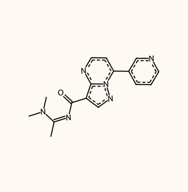 C/C(=N/C(=O)c1cnn2c(-c3cccnc3)ccnc12)N(C)C